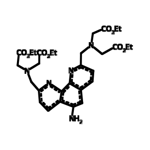 CCOC(=O)CN(CC(=O)OCC)Cc1ccc2cc(N)c3ccc(CN(CC(=O)OCC)CC(=O)OCC)nc3c2n1